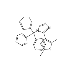 Cc1cc(-c2n[c]cn2C(c2ccccc2)(c2ccccc2)c2ccccc2)c(C)s1